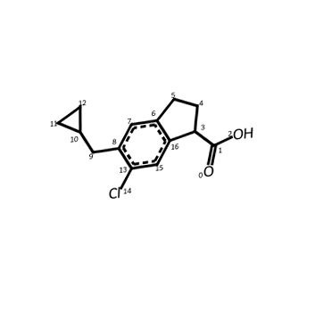 O=C(O)C1CCc2cc(CC3CC3)c(Cl)cc21